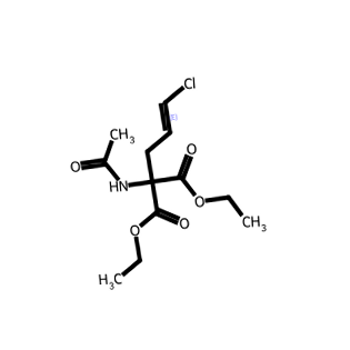 CCOC(=O)C(C/C=C/Cl)(NC(C)=O)C(=O)OCC